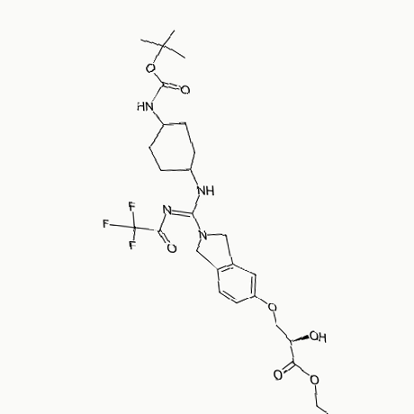 CCOC(=O)[C@H](O)COc1ccc2c(c1)CN(/C(=N\C(=O)C(F)(F)F)NC1CCC(NC(=O)OC(C)(C)C)CC1)C2